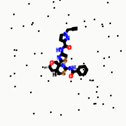 C#CCn1ccc(C(=O)Nc2csc([C@]34CO[C@@H](C)C[C@H]3CSC(NC(=O)c3ccccc3)=N4)n2)n1